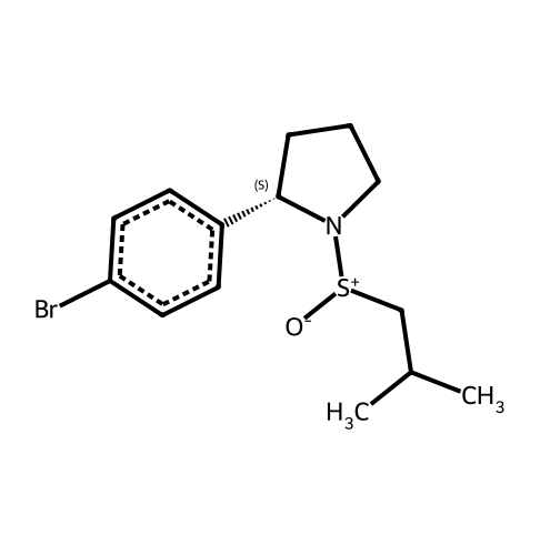 CC(C)C[S+]([O-])N1CCC[C@H]1c1ccc(Br)cc1